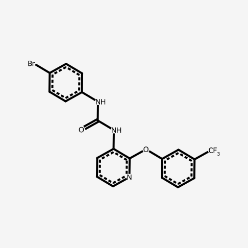 O=C(Nc1ccc(Br)cc1)Nc1cccnc1Oc1cccc(C(F)(F)F)c1